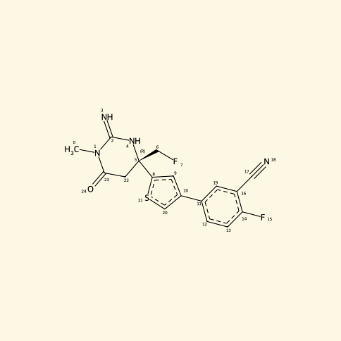 CN1C(=N)N[C@](CF)(c2cc(-c3ccc(F)c(C#N)c3)cs2)CC1=O